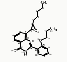 CCCCCC1OC1c1cccc2c(=O)[nH]c(-c3ccccc3OCCC)nc12